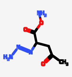 CC(=O)CC(N=NN)C(=O)ON